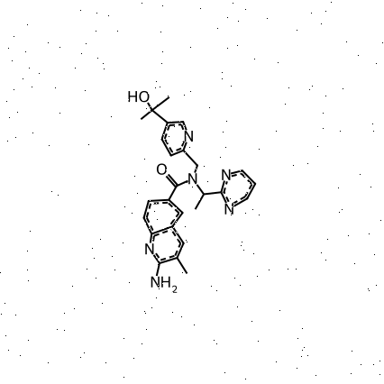 Cc1cc2cc(C(=O)N(Cc3ccc(C(C)(C)O)cn3)C(C)c3ncccn3)ccc2nc1N